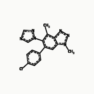 Cc1c(-n2cncn2)c(-c2ccc(Cl)cc2)cc2c1nnn2C